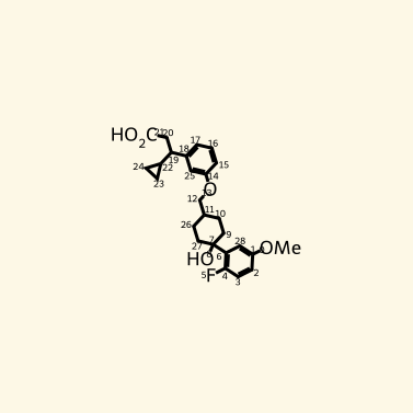 COc1ccc(F)c(C2(O)CCC(COc3cccc(C(CC(=O)O)C4CC4)c3)CC2)c1